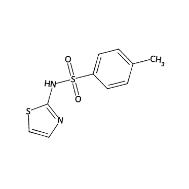 Cc1ccc(S(=O)(=O)Nc2nccs2)cc1